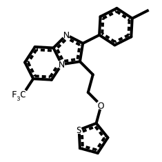 Cc1ccc(-c2nc3ccc(C(F)(F)F)cn3c2CCOc2cccs2)cc1